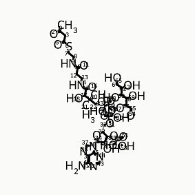 CC(=O)CC(=O)SCCNC(=O)CCNC(=O)C(O)C(C)(C)COP(=O)(O)OP(=O)(O)OC[C@H]1O[C@@H](n2cnc3c(N)ncnc32)[C@H](O)[C@@H]1OP(=O)(O)O.O=CC(O)C(O)C(O)C(O)CO